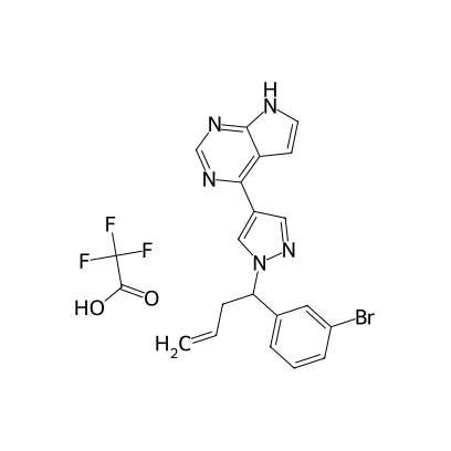 C=CCC(c1cccc(Br)c1)n1cc(-c2ncnc3[nH]ccc23)cn1.O=C(O)C(F)(F)F